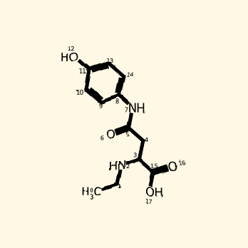 CCNC(CC(=O)Nc1ccc(O)cc1)C(=O)O